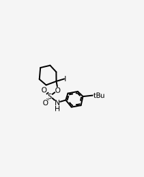 CC(C)(C)c1ccc(NS(=O)(=O)OC2(I)CCCCC2)cc1